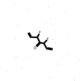 C=CC(F)C(=O)C(F)C=C